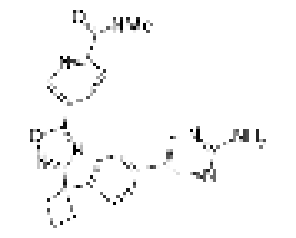 CNC(=O)c1ccc(-c2nc(C3(c4ccc(-c5cnc(N)nc5)cc4)CCC3)no2)cn1